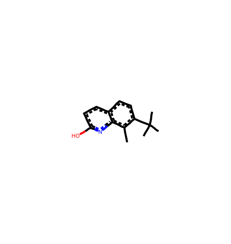 Cc1c(C(C)(C)C)ccc2ccc(O)nc12